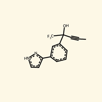 CC#CC(O)(c1cccc(-c2cc[nH]n2)c1)C(F)(F)F